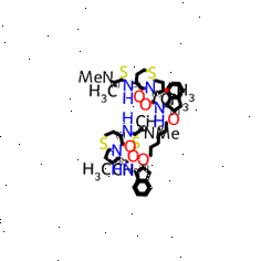 CN[C@@H](C)C(=S)N[C@H]1CCSC2CC(C)(C)[C@@H](C(=O)N[C@H]3c4ccccc4C[C@H]3OCCCCCCO[C@@H]3Cc4ccccc4[C@@H]3NC(=O)[C@H]3N4C(=O)[C@@H](NC(=S)[C@H](C)NC)CCSC4CC3(C)C)N2C1=O